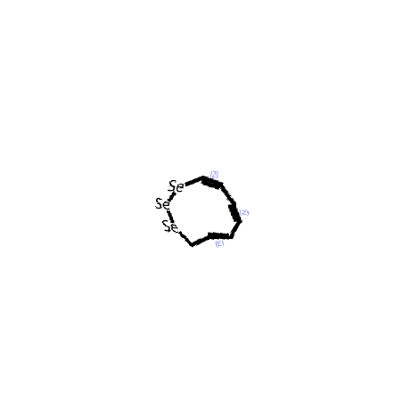 C1=C\C=C\C[Se][Se][Se]\C=C/1